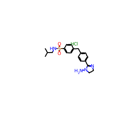 CC(C)CNS(=O)(=O)c1ccc(Cc2ccc(C3=NCCN3N)cc2)cc1.Cl